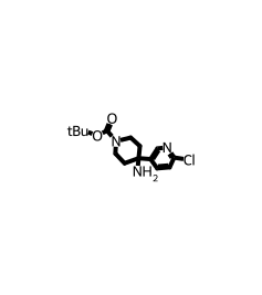 CC(C)(C)OC(=O)N1CCC(N)(c2ccc(Cl)nc2)CC1